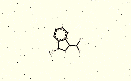 CC1CC(C(F)F)c2ccccc21